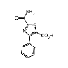 NC(=O)c1nc(-c2ccccc2)c(C(=O)O)s1